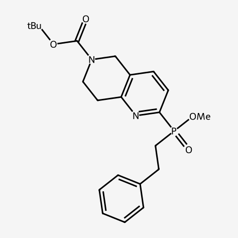 COP(=O)(CCc1ccccc1)c1ccc2c(n1)CCN(C(=O)OC(C)(C)C)C2